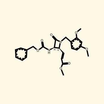 COC(=O)C=C[C@H]1[C@@H](NC(=O)OCc2ccccc2)C(=O)N1Cc1ccc(OC)cc1OC